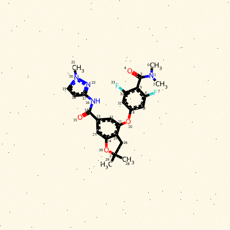 CN(C)C(=O)c1c(F)cc(Oc2cc(C(=O)Nc3ccn(C)n3)cc3c2CC(C)(C)O3)cc1F